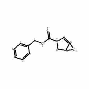 O=C(OCc1ccccc1)N1C=C2OC2C1